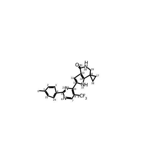 Cc1ccc(-c2ncc(C(F)(F)F)c(-c3cc4c([nH]3)C3(CC3)CNC4=O)n2)cc1